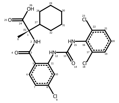 C[C@@](NC(=O)c1ccc(Cl)cc1NC(=O)Nc1c(Cl)cccc1Cl)(C(=O)O)C1CCCCC1